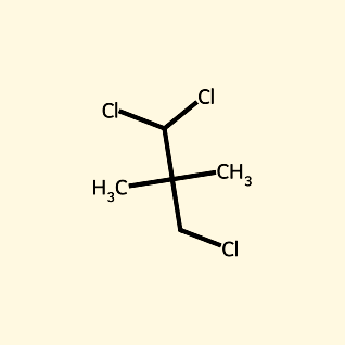 CC(C)(CCl)C(Cl)Cl